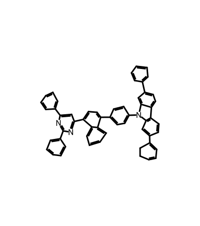 C1=CCCC(c2ccc3c4ccc(-c5ccccc5)cc4n(-c4ccc(-c5ccc(-c6cc(-c7ccccc7)nc(-c7ccccc7)n6)c6ccccc56)cc4)c3c2)=C1